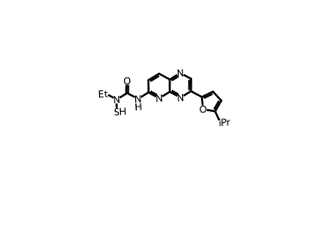 CCN(S)C(=O)Nc1ccc2ncc(-c3ccc(C(C)C)o3)nc2n1